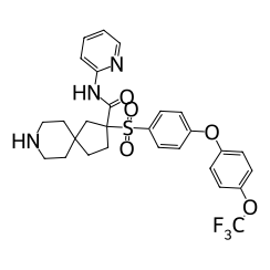 O=C(Nc1ccccn1)C1(S(=O)(=O)c2ccc(Oc3ccc(OC(F)(F)F)cc3)cc2)CCC2(CCNCC2)C1